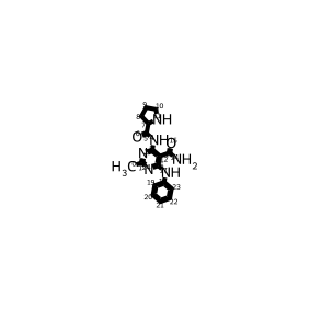 Cc1nc(NC(=O)C2CCCN2)c(C(N)=O)c(Nc2ccccc2)n1